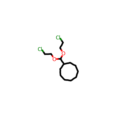 ClCCOC(OCCCl)C1CCCCCCCC1